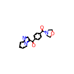 O=C(c1ccc(C(=O)N2CCOCC2)cc1)c1cnc2ccccn12